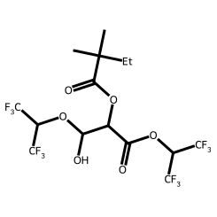 CCC(C)(C)C(=O)OC(C(=O)OC(C(F)(F)F)C(F)(F)F)C(O)OC(C(F)(F)F)C(F)(F)F